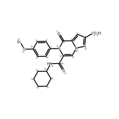 CCOC(=O)c1cc2c(=O)n(-c3ccc(OCC)cc3)c(C(=O)NC3CCCCC3)cn2n1